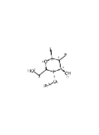 CC(C)O[C@@H]1C(CO)O[C@@H](C)C(C)[C@H]1O